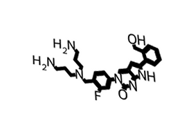 NCCCN(CCCN)Cc1ccc(-n2cc3cc(-c4ccccc4CO)[nH]c3nc2=O)cc1F